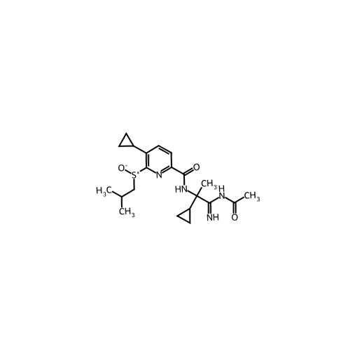 CC(=O)NC(=N)C(C)(NC(=O)c1ccc(C2CC2)c([S+]([O-])CC(C)C)n1)C1CC1